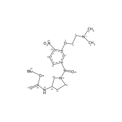 CN(C)CCOc1cc(C(=O)N2CCC(NC(=O)OC(C)(C)C)C2)ccc1[N+](=O)[O-]